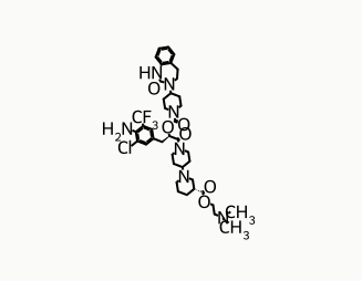 CN(C)CCOC(=O)[C@@H]1CCCN(C2CCN(C(=O)[C@@H](Cc3cc(Cl)c(N)c(C(F)(F)F)c3)OC(=O)N3CCC(N4CCc5ccccc5NC4=O)CC3)CC2)C1